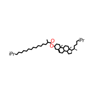 CC(C)CCCCCCCCCCCCCC(C)C(=O)OC1CC[C@@]2(C)C(=CCC3C2CC[C@@]2(C)C3CC[C@@H]2[C@H](C)CCCC(C)C)C1